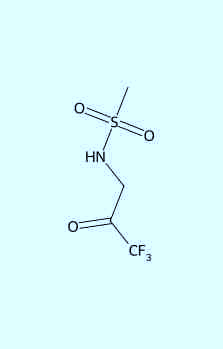 CS(=O)(=O)NCC(=O)C(F)(F)F